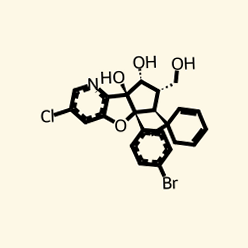 CC1([C@@H]2[C@@H](CO)[C@@H](O)[C@@]3(O)c4ncc(Cl)cc4O[C@@]23c2ccc(Br)cc2)C=CC=CC1